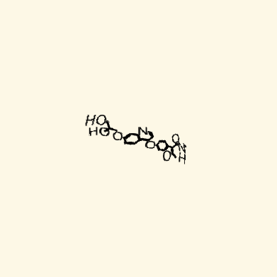 CNC(=O)c1c(C)oc2cc(Oc3ccnc4cc(OCC(O)CO)ccc34)ccc12